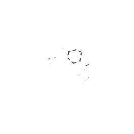 CC1CN(C(=O)c2ccc(Br)c(OCC(F)(F)F)c2)C1